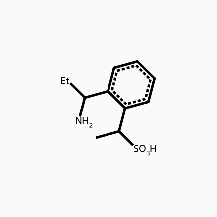 CCC(N)c1ccccc1C(C)S(=O)(=O)O